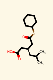 CC(C)C[C@@H](CC(=O)O)CC(=O)SC1CCCCC1